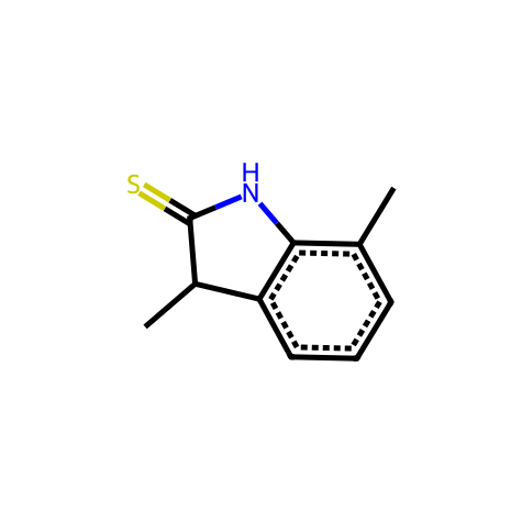 Cc1cccc2c1NC(=S)C2C